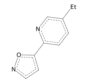 CCc1ccc(-c2ccno2)nc1